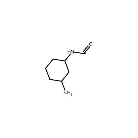 CC1CCCC(N[C]=O)C1